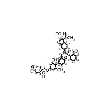 Cc1cc(OCC2(O)CCS(=O)(=O)CC2)cc(C)c1-c1cccc(CN(c2ccc3c(C(C)C(=O)O)coc3c2)S(=O)(=O)c2ccccc2[N+](=O)[O-])c1